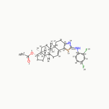 CCCC(=O)O[C@H]1CC[C@H]2[C@@H]3CC=C4c5sc(Nc6ccc(F)cc6F)nc5CC[C@]4(C)[C@H]3CC[C@]12C